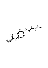 CCCCCCc1ccc(CC(N)=O)cc1